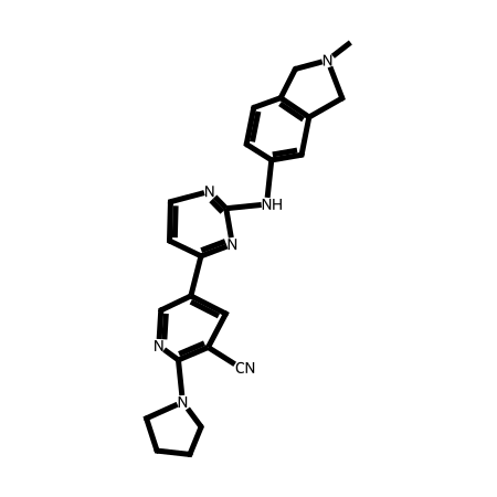 CN1Cc2ccc(Nc3nccc(-c4cnc(N5CCCC5)c(C#N)c4)n3)cc2C1